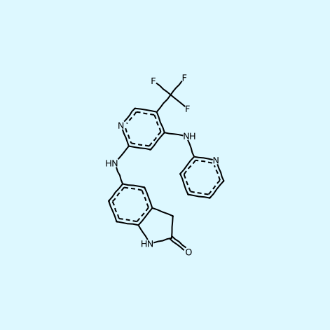 O=C1Cc2cc(Nc3cc(Nc4ccccn4)c(C(F)(F)F)cn3)ccc2N1